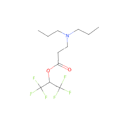 CCCN(CCC)CCC(=O)OC(C(F)(F)F)C(F)(F)F